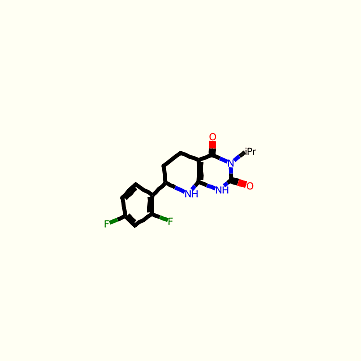 CC(C)n1c(=O)[nH]c2c(c1=O)CCC(c1ccc(F)cc1F)N2